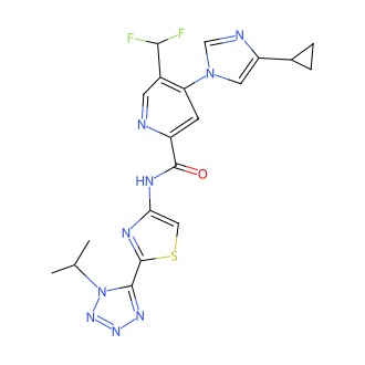 CC(C)n1nnnc1-c1nc(NC(=O)c2cc(-n3cnc(C4CC4)c3)c(C(F)F)cn2)cs1